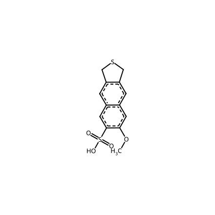 COc1cc2cc3c(cc2cc1S(=O)(=O)O)CSC3